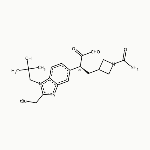 CC(C)(C)Cc1nc2cc([C@H](CC3CN(C(N)=O)C3)C(=O)C=O)ccc2n1CC(C)(C)O